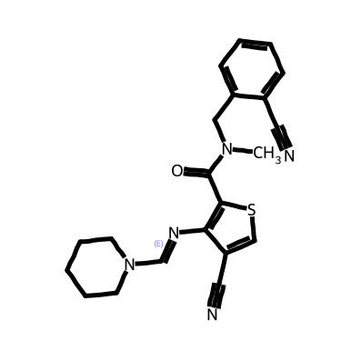 CN(Cc1ccccc1C#N)C(=O)c1scc(C#N)c1/N=C/N1CCCCC1